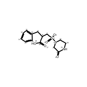 O=C1CN(S(=O)(=O)CC(Cc2ccccc2)C(=O)O)CCN1